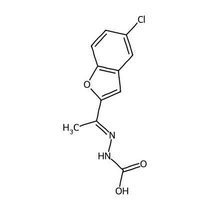 CC(=NNC(=O)O)c1cc2cc(Cl)ccc2o1